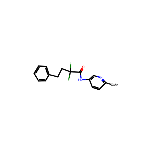 COc1ccc(NC(=O)C(F)(F)CCc2ccccc2)cn1